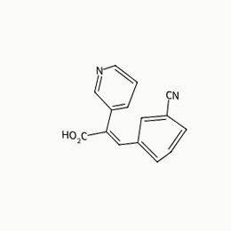 N#Cc1cccc(C=C(C(=O)O)c2cccnc2)c1